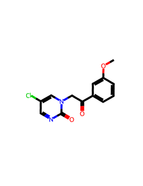 COc1cccc(C(=O)Cn2cc(Cl)cnc2=O)c1